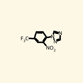 O=[N+]([O-])c1cc(C(F)(F)F)ccc1-n1cncn1